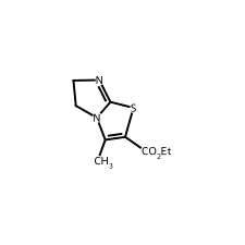 CCOC(=O)C1=C(C)N2CCN=C2S1